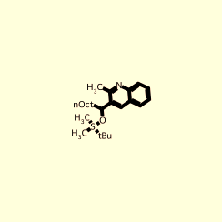 CCCCCCCCC(O[Si](C)(C)C(C)(C)C)c1cc2ccccc2nc1C